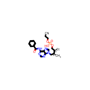 CC[C@H](COP(=O)(O)OCCC#N)[C@@H](C)Cn1cnc2c(NC(=O)c3ccccc3)ncnc21